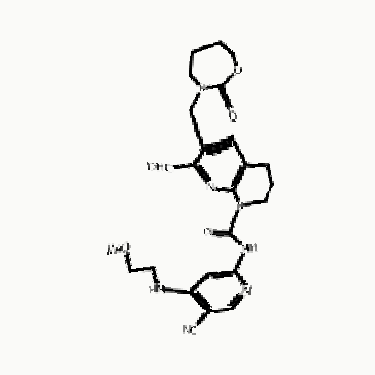 COCCNc1cc(NC(=O)N2CCCc3cc(CN4CCCCOC4=O)c(C=O)nc32)ncc1C#N